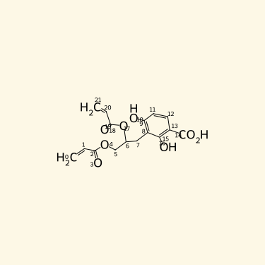 C=CC(=O)OCC(Cc1c(O)ccc(C(=O)O)c1O)OC(=O)C=C